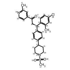 Cc1cc(C(=O)C[C@H](c2ccc(C3CCN(S(C)(=O)=O)CC3)cc2)c2ccc(Cl)cc2C)ccn1